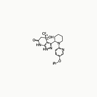 CC(C)Oc1ccc(N2CCCCC2c2n[nH]c3c2[C@](O)(C(F)(F)F)CC(=O)N3)nc1